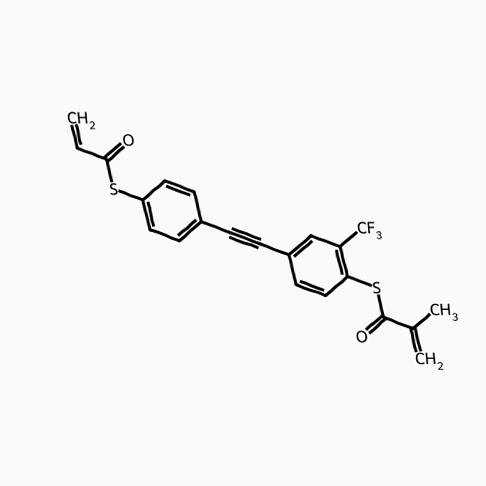 C=CC(=O)Sc1ccc(C#Cc2ccc(SC(=O)C(=C)C)c(C(F)(F)F)c2)cc1